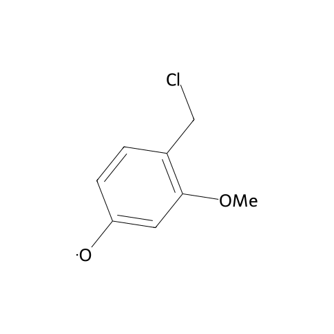 COc1cc([O])ccc1CCl